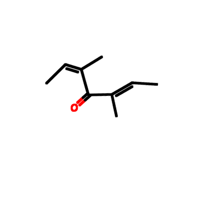 CC=C(C)C(=O)C(C)=CC